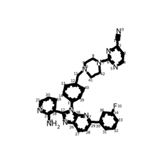 N#Cc1ccnc(N2CCN(Cc3ccc(-n4c(-c5cccnc5N)nc5ccc(-c6cccc(F)c6)nc54)cc3)CC2)n1